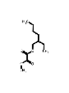 CCCCC(CC)COC(=O)C(=O)OC